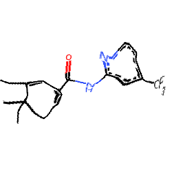 CC1=CC(C(=O)Nc2cc(C(F)(F)F)ccn2)=CCC1(C)C